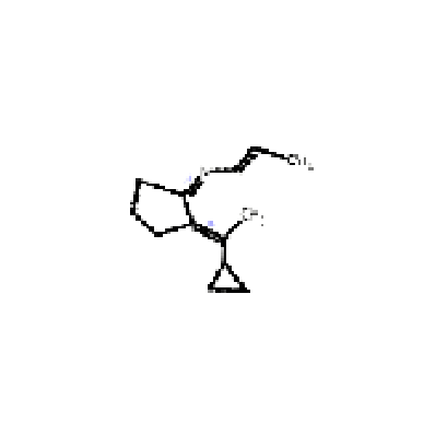 CC=C/N=C1/CCC/C1=C(/C)C1CC1